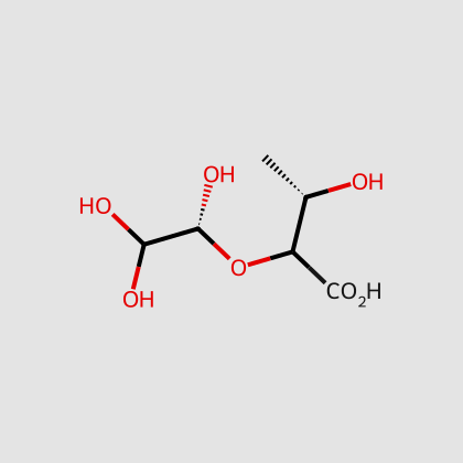 C[C@H](O)C(O[C@@H](O)C(O)O)C(=O)O